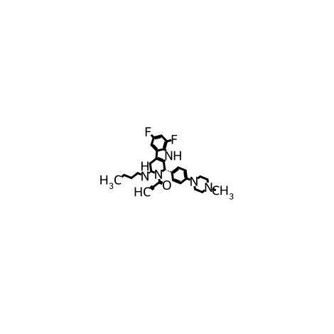 C#CC(=O)N1[C@@H](c2ccc(N3CCN(C)CC3)cc2)c2[nH]c3c(F)cc(F)cc3c2C[C@@H]1NCCCC